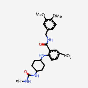 CCCNC(=O)NC1CCC(Nc2ccc([N+](=O)[O-])cc2C(=O)NCc2ccc(OC)c(OC)c2)CC1